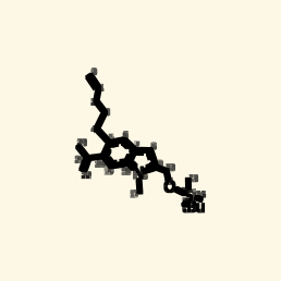 C=CCCCc1cc2cc(CO[Si](C)(C)C(C)(C)C)n(C)c2cc1C(=C)C